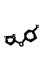 Fc1ccc(Oc2cc[c]s2)cc1